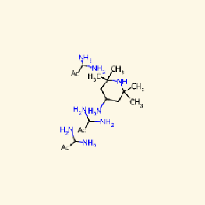 CC(=O)C(N)N.CC(=O)C(N)N.CC(=O)C(N)N.CC1(C)CC(N)CC(C)(C)N1